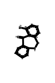 O=C1c2ccccc2SCc2cccc(Br)c21